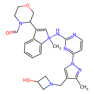 Cc1nn(-c2ccnc(N[N+]3(C)C=C(C4COCCN4C=O)c4ccccc43)n2)cc1CN1CC(O)C1